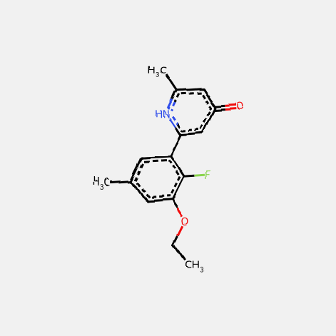 CCOc1cc(C)cc(-c2cc(=O)cc(C)[nH]2)c1F